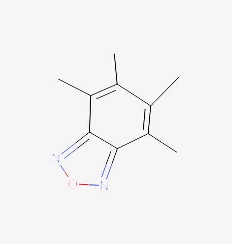 Cc1c(C)c(C)c2nonc2c1C